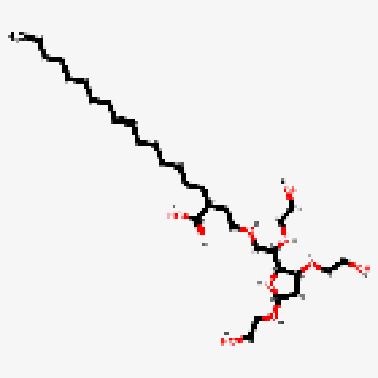 CCCCCCCCC=CCCCCCCC(CCOCC(OCCO)C1OC(OCCO)CC1OCCO)C(=O)O